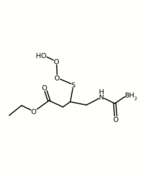 BC(=O)NCC(CC(=O)OCC)SOOO